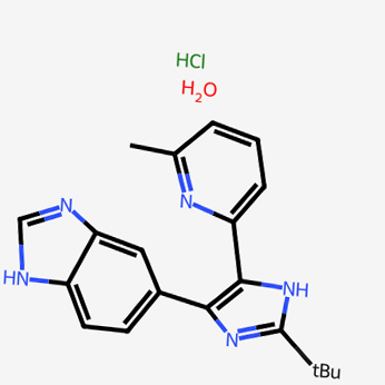 Cc1cccc(-c2[nH]c(C(C)(C)C)nc2-c2ccc3[nH]cnc3c2)n1.Cl.O